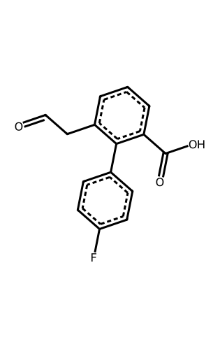 O=CCc1cccc(C(=O)O)c1-c1ccc(F)cc1